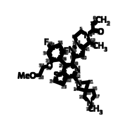 C=CC(=O)N1CCn2nc(-c3nc(N4CC5(CCN(C)C5)C4)c4ccsc4c3-c3c(F)cc(F)cc3OCCOC)cc2C1C